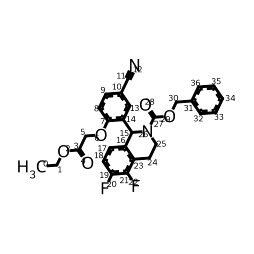 CCOC(=O)COc1ccc(C#N)cc1C1c2ccc(F)c(F)c2CCN1C(=O)OCc1ccccc1